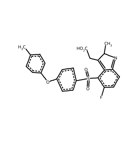 Cc1ccc(Oc2ccc(S(=O)(=O)c3c(F)ccc4c3=C(CC(=O)O)C(C)N=4)cc2)cc1